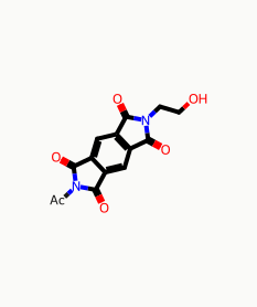 CC(=O)n1c(=O)c2cc3c(=O)n(CCO)c(=O)c3cc2c1=O